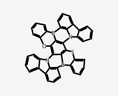 c1ccc2c(c1)Oc1c3c(c4c5c1-n1c6ccccc6c6cccc(c61)B5c1ccccc1S4)-n1c4ccccc4c4cccc(c41)B23